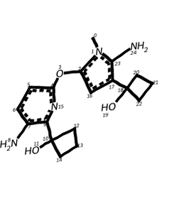 Cn1c(Oc2ccc(N)c(C3(O)CCC3)n2)cc(C2(O)CCC2)c1N